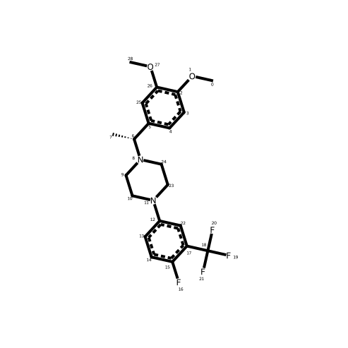 COc1ccc([C@@H](C)N2CCN(c3ccc(F)c(C(F)(F)F)c3)CC2)cc1OC